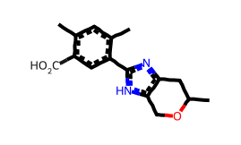 Cc1cc(C)c(-c2nc3c([nH]2)COC(C)C3)cc1C(=O)O